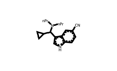 CCCN(CCC)C(c1c[nH]c2ccc(C#N)cc12)C1CC1